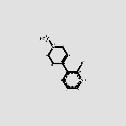 O=C(O)N1CC=C(c2cccnc2F)CC1